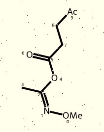 CON=C(C)OC(=O)CCC(C)=O